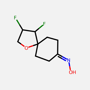 ON=C1CCC2(CC1)OCC(F)C2F